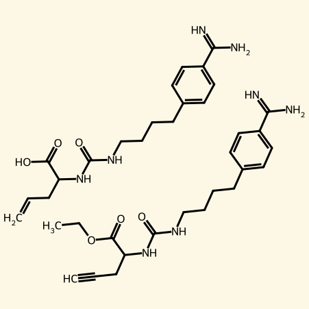 C#CCC(NC(=O)NCCCCc1ccc(C(=N)N)cc1)C(=O)OCC.C=CCC(NC(=O)NCCCCc1ccc(C(=N)N)cc1)C(=O)O